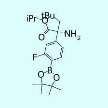 CC(C)OC(=O)[C@@](N)(CC(C)(C)C)c1ccc(B2OC(C)(C)C(C)(C)O2)c(F)c1